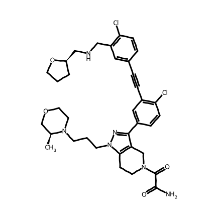 C[C@H]1COCCN1CCCn1nc(-c2ccc(Cl)c(C#Cc3ccc(Cl)c(CNC[C@H]4CCCO4)c3)c2)c2c1CCN(C(=O)C(N)=O)C2